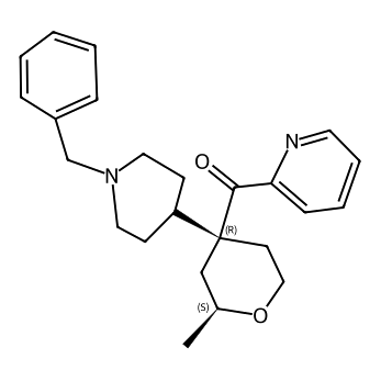 C[C@H]1C[C@@](C(=O)c2ccccn2)(C2CCN(Cc3ccccc3)CC2)CCO1